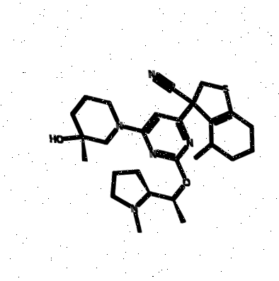 CC1CCCC2=C1C(C#N)(c1cc(N3CCC[C@@](C)(O)C3)nc(O[C@@H](C)[C@@H]3CCCN3C)n1)CS2